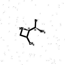 CC1CN[C@@H]1[C@@H](N)Br